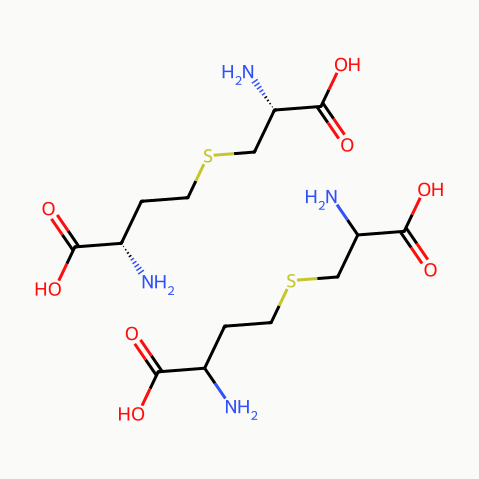 NC(CCSCC(N)C(=O)O)C(=O)O.N[C@@H](CCSC[C@H](N)C(=O)O)C(=O)O